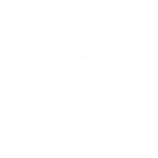 CCCCCCCCC1(CCCCCCCC)c2cc(P)ccc2-c2cc3sc4cc(C)ccc4c3cc21